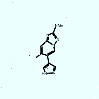 CNc1nc2cc(C)c(-c3cn[nH]c3)cn2n1